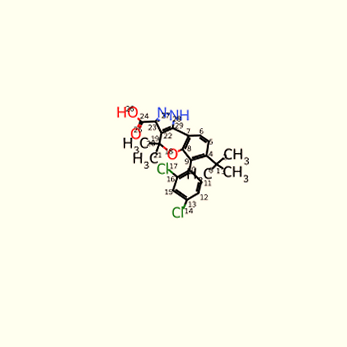 CC(C)(C)c1ccc2c(c1-c1ccc(Cl)cc1Cl)OC(C)(C)c1c(C(=O)O)n[nH]c1-2